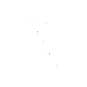 CCCCCCCCC[P](C)[Sc]